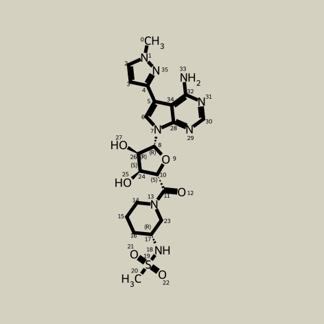 Cn1ccc(-c2cn([C@@H]3O[C@H](C(=O)N4CCC[C@@H](NS(C)(=O)=O)C4)[C@@H](O)[C@H]3O)c3ncnc(N)c23)n1